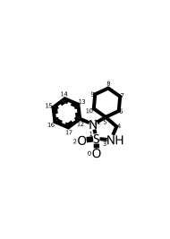 O=S1(=O)NCC2(CCCCC2)N1c1ccccc1